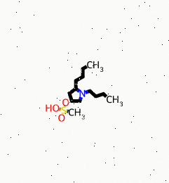 CCCCC1CCCN1CCCC.CS(=O)(=O)O